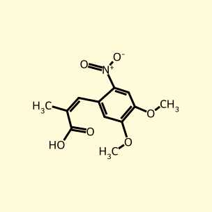 COc1cc(C=C(C)C(=O)O)c([N+](=O)[O-])cc1OC